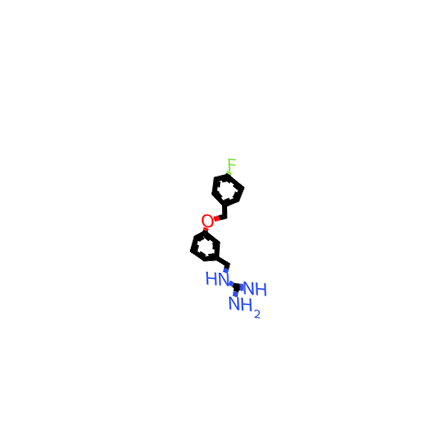 N=C(N)NCc1cccc(OCc2ccc(F)cc2)c1